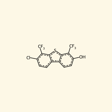 Oc1ccc2c(sc3c(C(F)(F)F)c(Cl)ccc32)c1C(F)(F)F